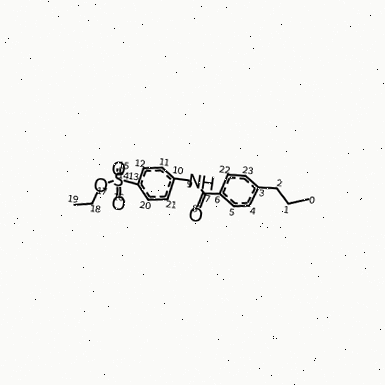 CCCc1ccc(C(=O)Nc2ccc(S(=O)(=O)OCC)cc2)cc1